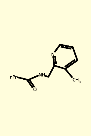 CCCC(=O)NCc1ncccc1C